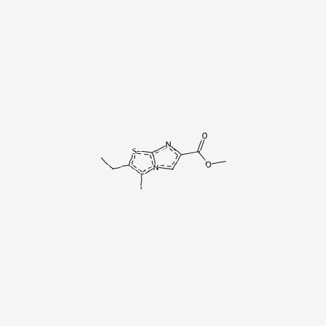 CCc1sc2nc(C(=O)OC)cn2c1C